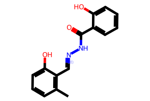 Cc1cccc(O)c1/C=N/NC(=O)c1ccccc1O